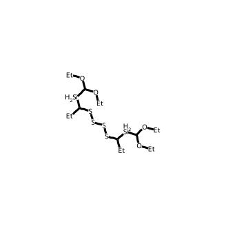 CCOC(OCC)[SiH2]C(CC)SSSSC(CC)[SiH2]C(OCC)OCC